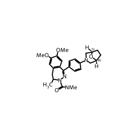 CNC(=O)N1N=C(c2ccc(N3C[C@H]4CC[C@@H](C3)O4)cc2)c2cc(OC)c(OC)cc2CC1C